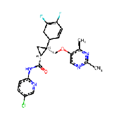 Cc1ncc(OC[C@@]2(C3C=CC(F)=C(F)C3)C[C@H]2C(=O)Nc2ccc(Cl)cn2)c(C)n1